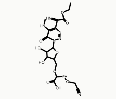 CCOC(=O)C(=N)c1nnn(C2OC(COC(POCC#N)C(=O)O)C(O)C2O)c(=O)c1NC